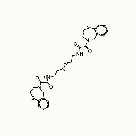 O=C(NCCSSCCNC(=O)C(=O)N1CCSc2ccccc2C1)C(=O)N1CCSc2ccccc2C1